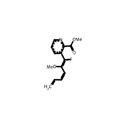 C=C/C=C\C(OC)=C(/F)c1cccnc1C(=O)OC